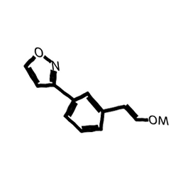 COC=Cc1cccc(-c2ccon2)c1